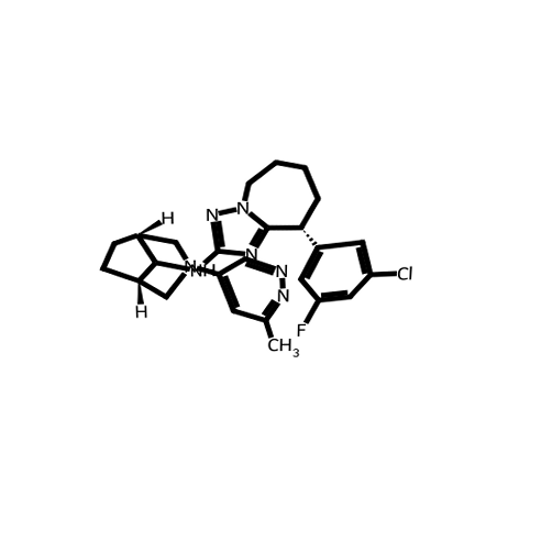 Cc1cc(N2C[C@H]3CC[C@@H](C2)C3Nc2nc3n(n2)CCCC[C@@H]3c2cc(F)cc(Cl)c2)cnn1